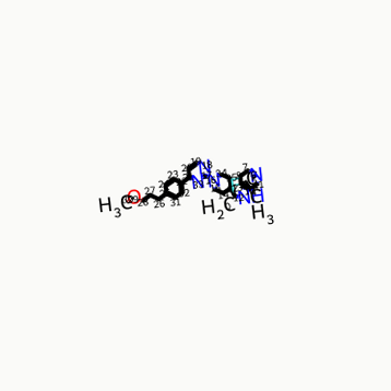 C=C(NC1(C)CN2CCC1CC2)C1(F)CCN(c2nccc(-c3ccc(CCCOC)cc3)n2)CC1